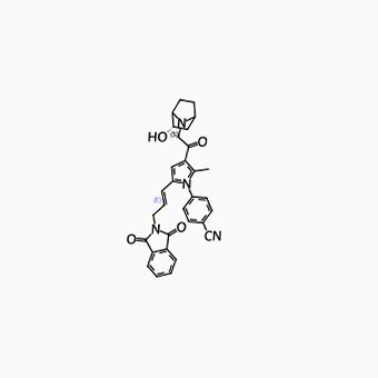 Cc1c(C(=O)CN2C3CCC2[C@@H](O)C3)cc(/C=C/CN2C(=O)c3ccccc3C2=O)n1-c1ccc(C#N)cc1